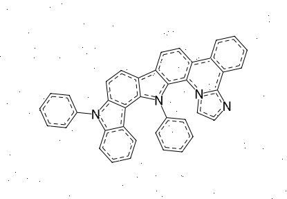 c1ccc(-n2c3ccccc3c3c2ccc2c4ccc5c6ccccc6c6nccn6c5c4n(-c4ccccc4)c23)cc1